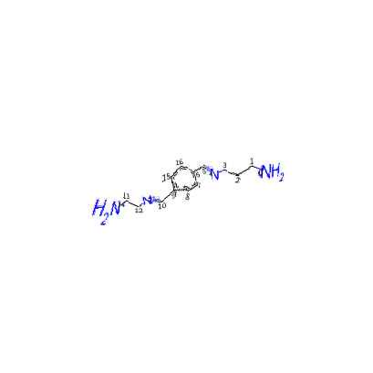 NCCC/N=C/c1ccc(/C=N/CCN)cc1